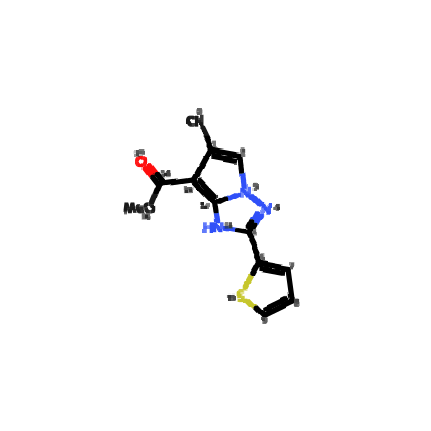 [C-]#[N+]c1cn2nc(-c3cccs3)[nH]c2c1C(=O)OC